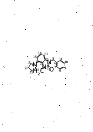 C=[N+]1C(=O)N(Cc2ccccc2)c2cccc(N3CCCC3)c21